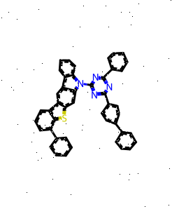 c1ccc(-c2ccc(-c3nc(-c4ccccc4)nc(-n4c5ccccc5c5cc6c(cc54)sc4c(-c5ccccc5)cccc46)n3)cc2)cc1